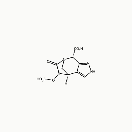 O=C(O)[C@@H]1c2n[nH]cc2[C@@H]2CN1C(=O)N2OS(=O)(=O)O